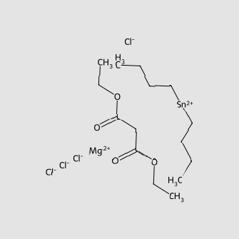 CCC[CH2][Sn+2][CH2]CCC.CCOC(=O)CC(=O)OCC.[Cl-].[Cl-].[Cl-].[Cl-].[Mg+2]